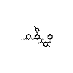 Cc1cn(-c2cc(CN3CCC[C@H](N)C3)cc(NC(=O)c3ccc(C)c(Oc4ccccc4)c3)c2)cn1